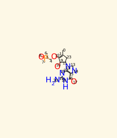 CC1=C(OCP(C)(C)=O)C(=O)[C@@H](n2cnc3c(=O)[nH]c(N)nc32)C1